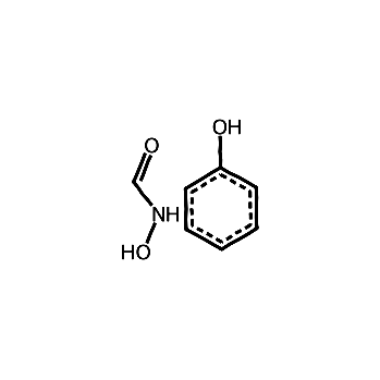 O=CNO.Oc1ccccc1